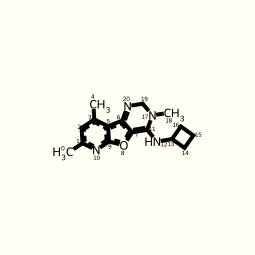 Cc1cc(C)c2c3c(oc2n1)=C(NC1CCC1)N(C)CN=3